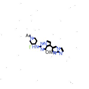 COc1nc(N[C@H]2CCN(C(C)=O)C[C@H]2F)nn2ccc(-c3cnc4nccn4c3)c12